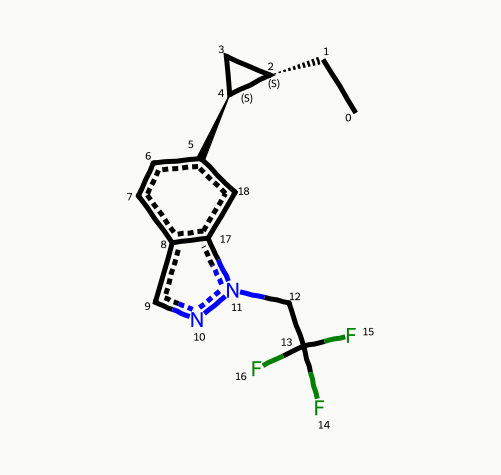 CC[C@H]1C[C@@H]1c1ccc2cnn(CC(F)(F)F)c2c1